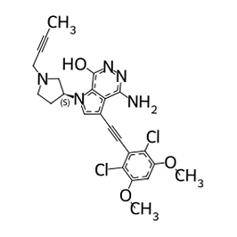 CC#CCN1CC[C@H](n2cc(C#Cc3c(Cl)c(OC)cc(OC)c3Cl)c3c(N)nnc(O)c32)C1